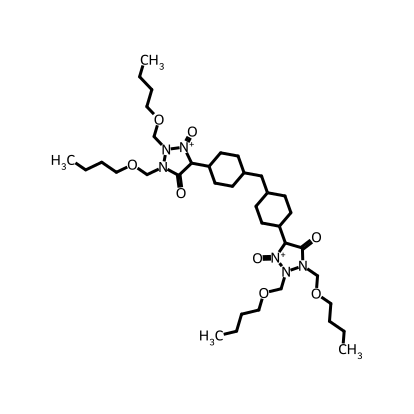 CCCCOCN1C(=O)C(C2CCC(CC3CCC(C4C(=O)N(COCCCC)N(COCCCC)[N+]4=O)CC3)CC2)[N+](=O)N1COCCCC